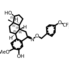 COc1cc2c(cc1O)C(=NOCc1ccc(OC(F)(F)F)cc1)C[C@@H]1[C@@H]2CC[C@]2(C)[C@@H](O)CC[C@@H]12